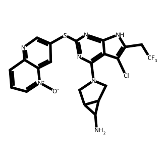 NC1C2CN(c3nc(Sc4cnc5ccc[n+]([O-])c5c4)nc4[nH]c(CC(F)(F)F)c(Cl)c34)CC12